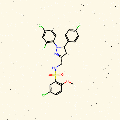 COc1ccc(Cl)cc1S(=O)(=O)NCC1=NN(c2ccc(Cl)cc2Cl)C(c2ccc(Cl)cc2)C1